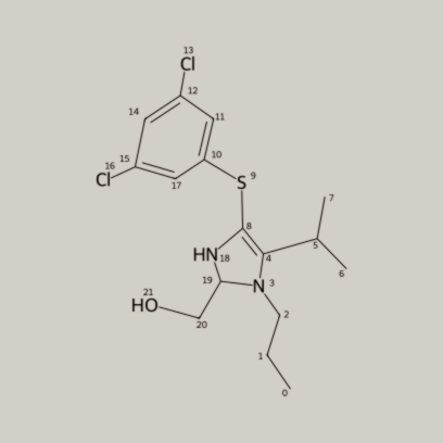 CCCN1C(C(C)C)=C(Sc2cc(Cl)cc(Cl)c2)NC1CO